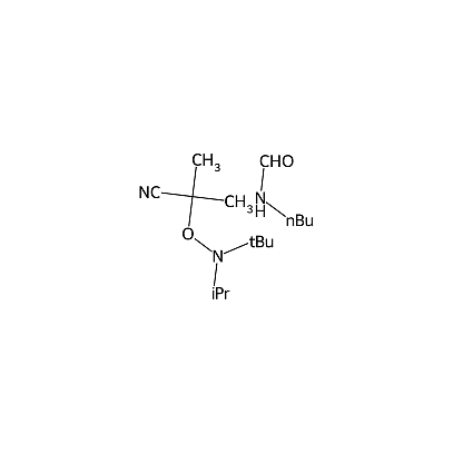 CC(C)N(OC(C)(C)C#N)C(C)(C)C.CCCCNC=O